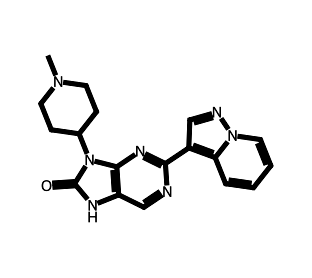 CN1CCC(n2c(=O)[nH]c3cnc(-c4cnn5ccccc45)nc32)CC1